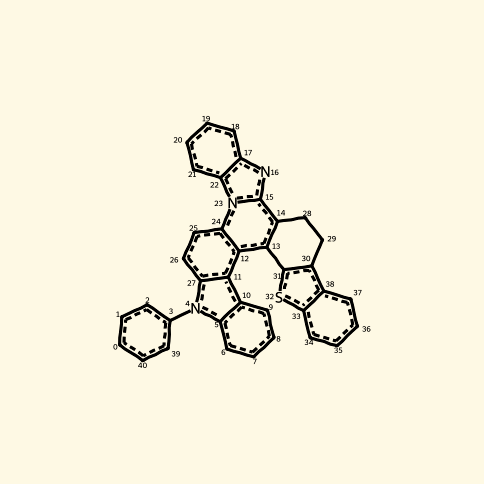 c1ccc(-n2c3ccccc3c3c4c5c(c6nc7ccccc7n6c4ccc32)CCc2c-5sc3ccccc23)cc1